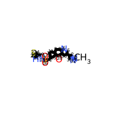 Cn1cc(-c2cnc3ccc4ccc(CS(=O)(=O)NCc5ccsc5)cc4c(=O)c3c2)cn1